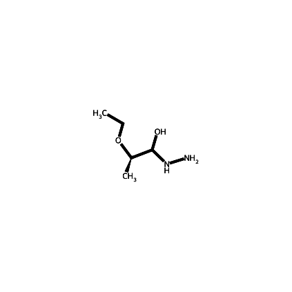 CCO[C@H](C)C(O)NN